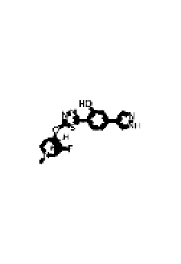 CN1CC2CCC1C(F)[C@@H]2Oc1nnc(-c2ccc(-c3cn[nH]c3)cc2O)s1